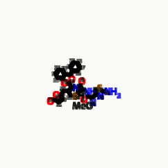 CO/N=C(\C(=O)N[C@@H]1C(=O)N2C(C(=O)OC(c3ccccc3)c3ccccc3)=C(CC3C=CC(=O)O3)CS[C@H]12)c1csc(N)n1